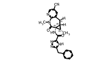 CN1C(=O)[C@@]2(NC(=O)c3nnc(Cc4ccccc4)[nH]3)[C@@H]3[C@H](c4cc(C#N)cnc41)[C@]32C